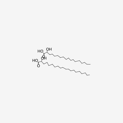 CCCCCCCCCCCCCCCCC(O)C(=O)O.CCCCCCCCCCCCCCCCCCC(O)C(=O)O